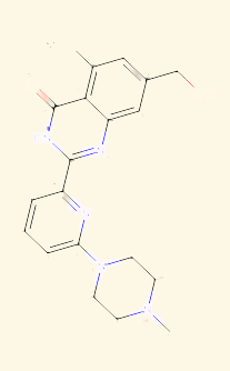 COc1cc(CO)cc2nc(-c3cccc(N4CCN(C)CC4)n3)[nH]c(=O)c12